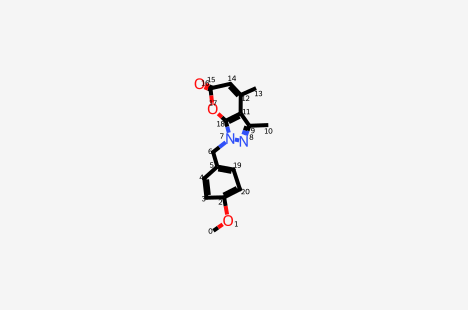 COc1ccc(Cn2nc(C)c3c(C)cc(=O)oc32)cc1